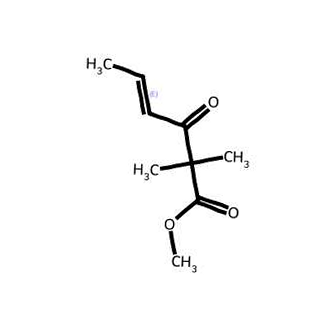 C/C=C/C(=O)C(C)(C)C(=O)OC